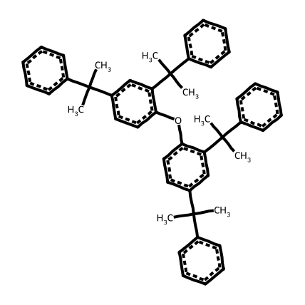 CC(C)(c1ccccc1)c1ccc(Oc2ccc(C(C)(C)c3ccccc3)cc2C(C)(C)c2ccccc2)c(C(C)(C)c2ccccc2)c1